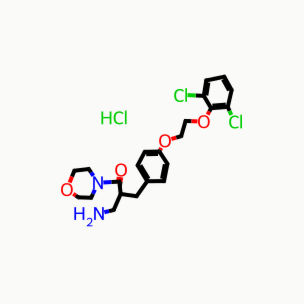 Cl.NCC(Cc1ccc(OCCOc2c(Cl)cccc2Cl)cc1)C(=O)N1CCOCC1